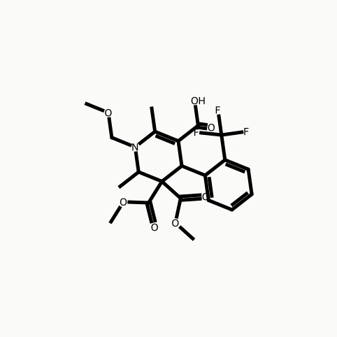 COCN1C(C)=C(C(=O)O)C(c2ccccc2C(F)(F)F)C(C(=O)OC)(C(=O)OC)C1C